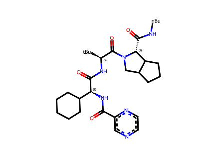 CCCCNC(=O)[C@@H]1C2CCCC2CN1C(=O)[C@@H](NC(=O)[C@@H](NC(=O)c1cnccn1)C1CCCCC1)C(C)(C)C